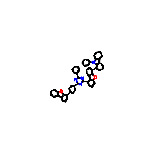 c1ccc(-c2nc(-c3ccc(-c4cccc5c4oc4ccccc45)cc3)nc(-c3cccc4oc5c(-c6cccc7c8ccccc8n(-c8ccccc8)c67)cccc5c34)n2)cc1